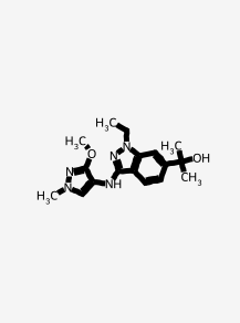 CCn1nc(Nc2cn(C)nc2OC)c2ccc(C(C)(C)O)cc21